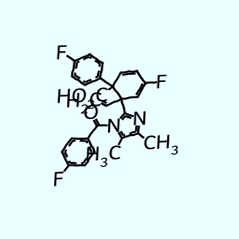 C=CC1(c2nc(C)c(C)n2C(=O)c2ccc(F)cc2)C=C(F)C=CC1(C(=O)O)c1ccc(F)cc1